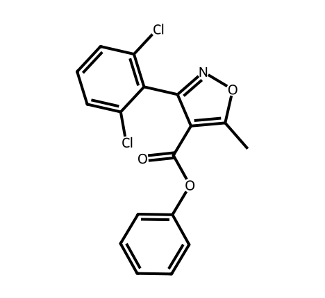 Cc1onc(-c2c(Cl)cccc2Cl)c1C(=O)Oc1ccccc1